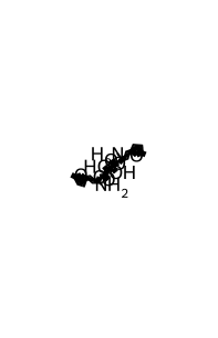 Cc1ccc(CC[C@H](N)OC(=O)C(O)C(O)C(=O)O[C@@H](N)CCc2ccc(C)o2)o1